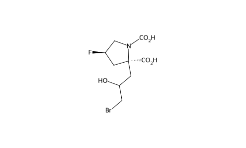 O=C(O)N1C[C@H](F)C[C@@]1(CC(O)CBr)C(=O)O